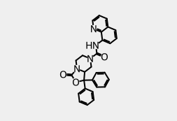 O=C(Nc1cccc2cccnc12)N1CCN2C(=O)OC(c3ccccc3)(c3ccccc3)C2C1